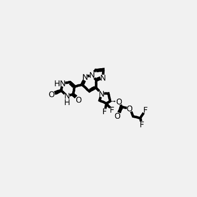 O=C(OCC(F)F)O[C@H]1CN(c2cc(-c3c[nH]c(=O)[nH]c3=O)nn3ccnc23)CC1(F)F